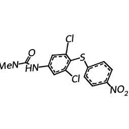 CNC(=O)Nc1cc(Cl)c(Sc2ccc([N+](=O)[O-])cc2)c(Cl)c1